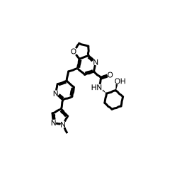 Cn1cc(-c2ccc(Cc3cc(C(=O)N[C@H]4CCCC[C@@H]4O)nc4c3OCC4)cn2)cn1